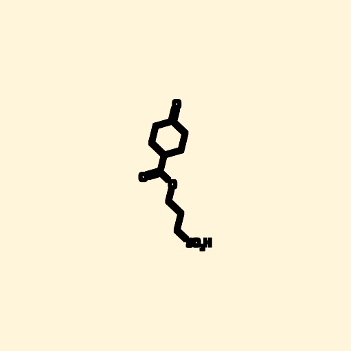 O=C1CCC(C(=O)OCCCS(=O)(=O)O)CC1